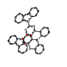 c1ccc2c(c1)Sc1ccccc1B2c1ccccc1-c1nc(-n2c3ccccc3c3ccccc32)nc(-n2c3ccccc3c3ccccc32)n1